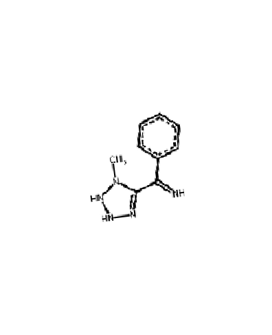 CN1NNN=C1C(=N)c1ccccc1